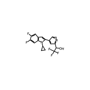 OC(c1cc(-c2cc3cc(F)c(F)cc3n2C2CC2)cnn1)C(F)(F)F